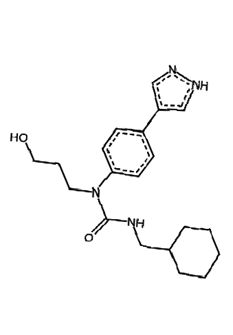 O=C(NCC1CCCCC1)N(CCCO)c1ccc(-c2cn[nH]c2)cc1